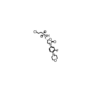 O=C1O[C@@H](CNS(=O)(=O)CCCl)CN1c1ccc(N2CCOCC2)c(F)c1